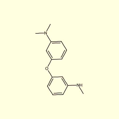 CNc1cccc(Oc2cccc(N(C)C)c2)c1